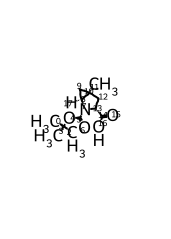 CC(C)(C)OC(=O)N1[C@H]2C[C@@]2(C)C[C@H]1C(=O)O